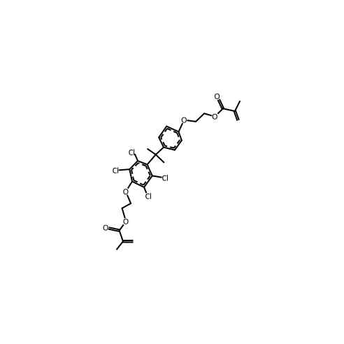 C=C(C)C(=O)OCCOc1ccc(C(C)(C)c2c(Cl)c(Cl)c(OCCOC(=O)C(=C)C)c(Cl)c2Cl)cc1